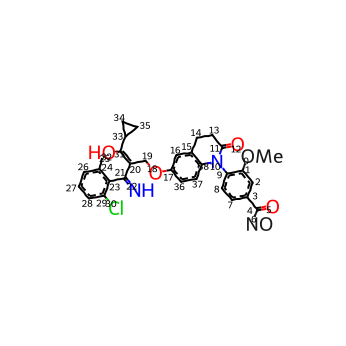 COc1cc(C(=O)N=O)ccc1N1C(=O)CCc2cc(OC/C(C(=N)c3c(C)cccc3Cl)=C(/O)C3CC3)ccc21